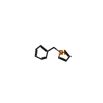 [C]1=C[SH](Cc2ccccc2)C=C1